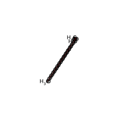 CC(=O)CCOCCOCCOCCOCCOCCOCCOCCOCCOCCOCCOCCOCCOCCOCCOCCOCCOCCOCCOCCOCCOCCOCCOCCOCCNC(=O)CCN1C(=O)CC(C)C1=O